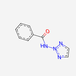 O=C(Nn1nccn1)c1ccccc1